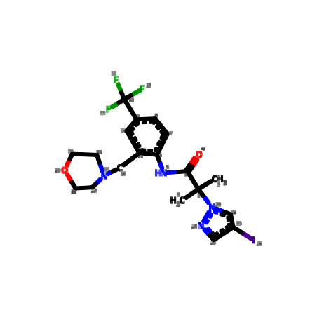 CC(C)(C(=O)Nc1ccc(C(F)(F)F)cc1CN1CCOCC1)n1cc(I)cn1